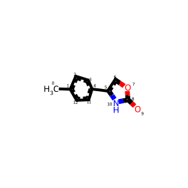 Cc1ccc(-c2coc(=O)[nH]2)cc1